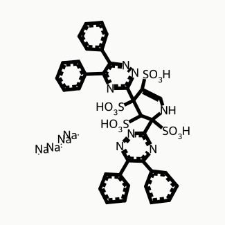 O=S(=O)(O)C1=CNC(c2nnc(-c3ccccc3)c(-c3ccccc3)n2)(S(=O)(=O)O)C(S(=O)(=O)O)C1(c1nnc(-c2ccccc2)c(-c2ccccc2)n1)S(=O)(=O)O.[Na].[Na].[Na].[Na]